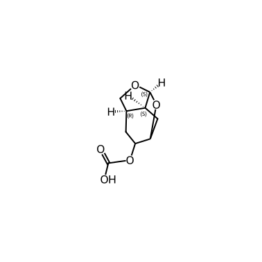 O=C(O)OC1C[C@H]2CO[C@H]3OC1C[C@@H]23